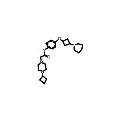 O=C(CN1CCN(C2CCC2)CC1)Nc1ccc(OC2CC(N3CCCCC3)C2)cc1